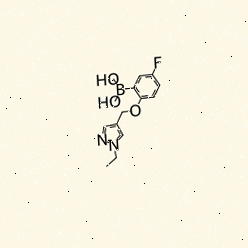 CCn1cc(COc2ccc(F)cc2B(O)O)cn1